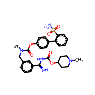 CC(C)N(Cc1cccc(C(=N)NC(=O)OC2CCN(C)CC2)c1)C(=O)Oc1ccc(-c2ccccc2S(N)(=O)=O)cc1